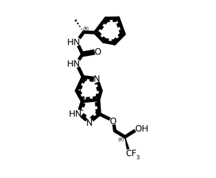 C[C@@H](NC(=O)Nc1cc2[nH]nc(OC[C@@H](O)C(F)(F)F)c2cn1)c1ccccc1